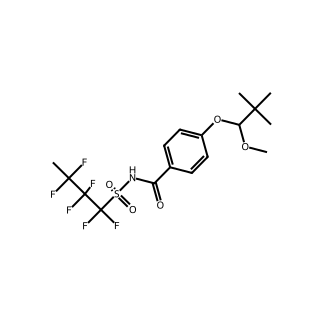 COC(Oc1ccc(C(=O)NS(=O)(=O)C(F)(F)C(F)(F)C(C)(F)F)cc1)C(C)(C)C